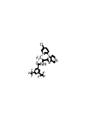 CC(NC(=O)c1cc(C(F)(F)F)cc(C(F)(F)F)c1)c1nc2cnccc2n1-c1ccc(Cl)cn1